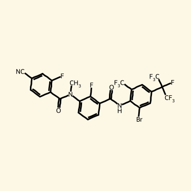 CN(C(=O)c1ccc(C#N)cc1F)c1cccc(C(=O)Nc2c(Br)cc(C(F)(C(F)(F)F)C(F)(F)F)cc2C(F)(F)F)c1F